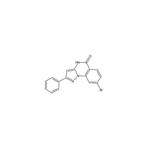 O=c1[nH]c2cc(-c3ccccc3)nn2c2cc(Br)ccc12